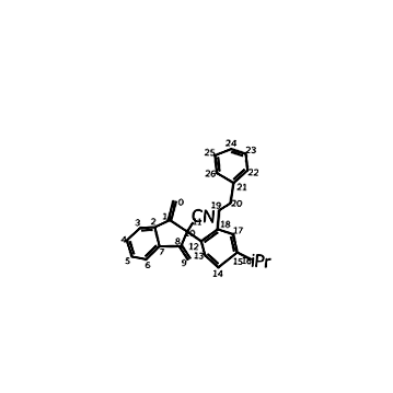 C=C1c2ccccc2C(=C)C1(C#N)c1ccc(C(C)C)cc1CCc1ccccc1